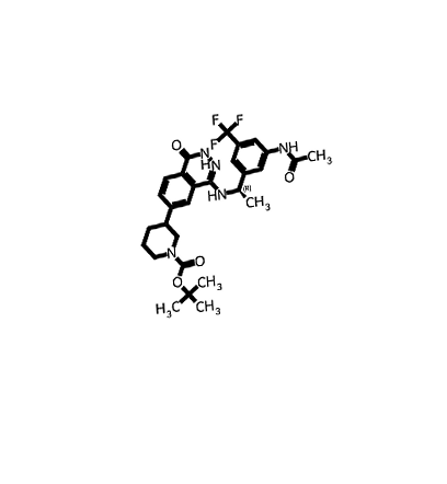 CC(=O)Nc1cc([C@@H](C)Nc2n[nH]c(=O)c3ccc(C4CCCN(C(=O)OC(C)(C)C)C4)cc23)cc(C(F)(F)F)c1